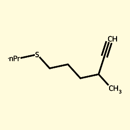 C#CC(C)CCCS[CH]CC